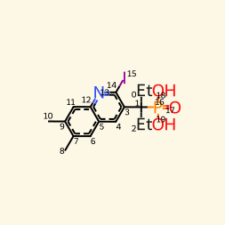 CCC(CC)(c1cc2cc(C)c(C)cc2nc1I)P(=O)(O)O